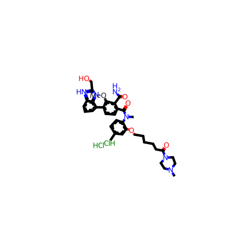 COc1c(-c2cccc3[nH]c(CO)nc23)ccc(C(=O)N(C)c2ccc(C)cc2OCCCCCC(=O)N2CCN(C)CC2)c1C(N)=O.Cl.Cl